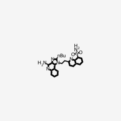 CCCCc1nc2c(N)nc3ccccc3c2n1CCc1ccc2cccc(S(N)(=O)=O)c2n1